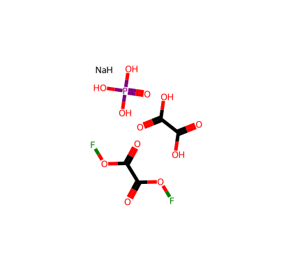 O=C(O)C(=O)O.O=C(OF)C(=O)OF.O=P(O)(O)O.[NaH]